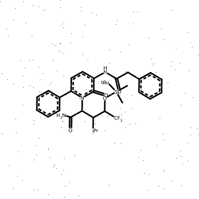 CC(C)C(C(C(N)=O)n1c(-c2ccccc2)ccc(NC(=O)Cc2ccccc2)c1=O)C(O[Si](C)(C)C(C)(C)C)C(F)(F)F